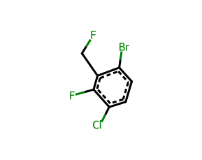 FCc1c(Br)ccc(Cl)c1F